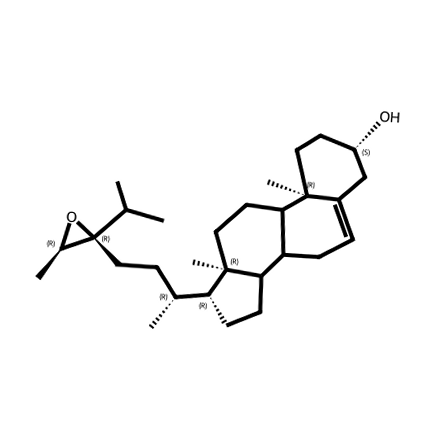 CC(C)[C@@]1(CC[C@@H](C)[C@H]2CCC3C4CC=C5C[C@@H](O)CC[C@]5(C)C4CC[C@@]32C)O[C@@H]1C